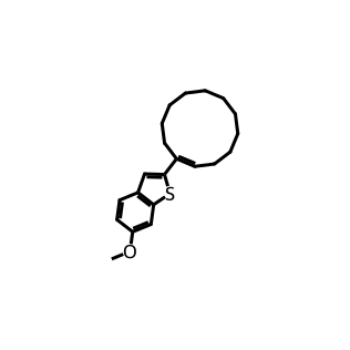 COc1ccc2cc(C3=CCCCCCCCCCC3)sc2c1